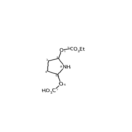 CCOC(=O)OC1CCC(OC(=O)O)N1